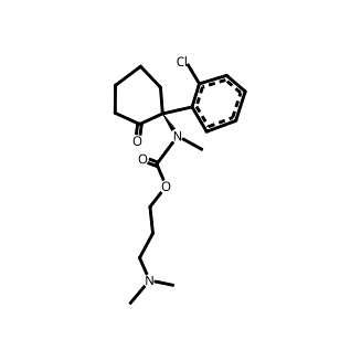 CN(C)CCCOC(=O)N(C)[C@]1(c2ccccc2Cl)CCCCC1=O